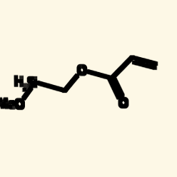 C=CC(=O)OC[SiH2]OC